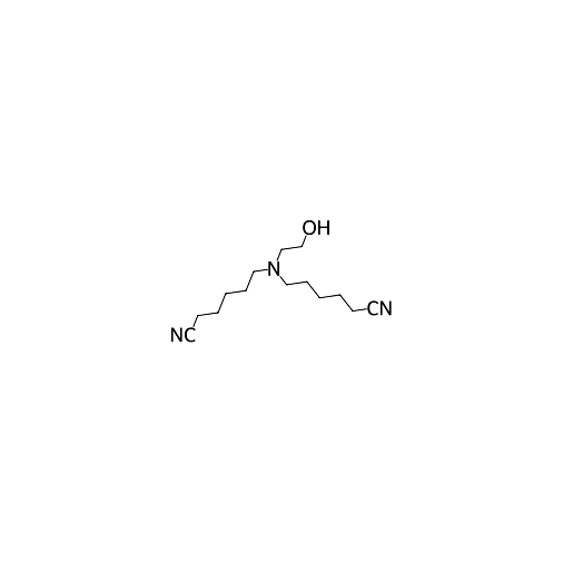 N#CCCCCCN(CCO)CCCCCC#N